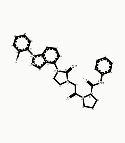 O=C(Nc1ccccc1)[C@H]1CCCN1C(=O)CN1CCN(c2cccc3c2cnn3-c2ccccc2F)C1=O